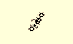 CC(C)C12CC3CC(c4ccccc4)(C1)C[C@@](C(=O)NC1CCCCC1)(C3)C2